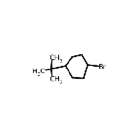 CC(C)(C)C1CCC(Br)CC1